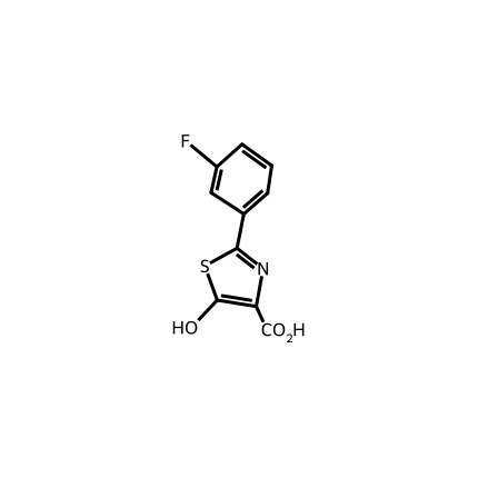 O=C(O)c1nc(-c2cccc(F)c2)sc1O